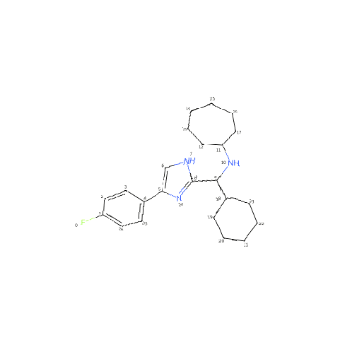 Fc1ccc(-c2c[nH]c(C(NC3CCCCCC3)C3CCCCC3)n2)cc1